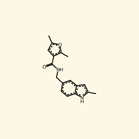 Cc1cc2cc(CNC(=O)c3cc(C)oc3C)ccc2[nH]1